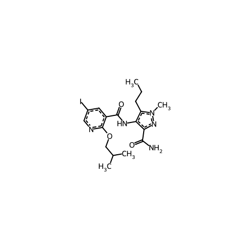 CCCc1c(NC(=O)c2cc(I)cnc2OCC(C)C)c(C(N)=O)nn1C